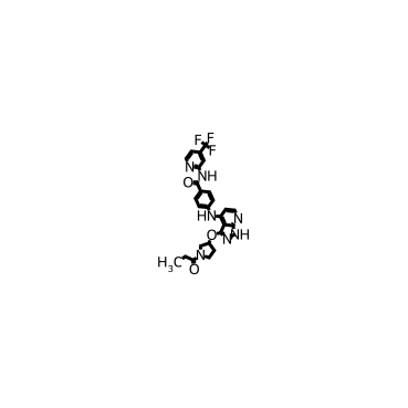 CCC(=O)N1CCC(Oc2n[nH]c3nccc(Nc4ccc(C(=O)Nc5cc(C(F)(F)F)ccn5)cc4)c23)C1